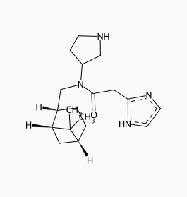 CC1(C)[C@@H]2CC[C@@H](CN(C(=O)Cc3ncc[nH]3)C3CCNC3)[C@H]1C2